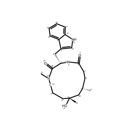 C[C@H]1CCC(=O)N[C@@H](Cc2c[nH]c3ccccc23)C(=O)N(C)CCC[C@@](C)(O)C1